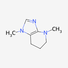 CN1CCCc2c1ncn2C